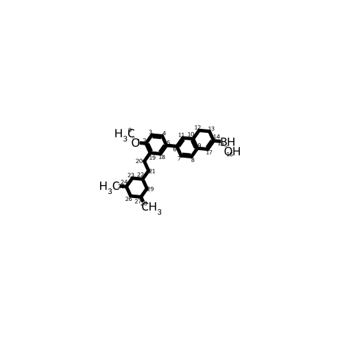 COc1ccc(-c2ccc3c(c2)CCC(BO)=C3)cc1CCC1CC(C)CC(C)C1